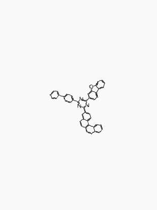 c1ccc(-c2ccc(-c3nc(-c4ccc5c(ccc6ccc7ccccc7c65)c4)nc(-c4ccc5c(c4)oc4ccccc45)n3)cc2)cc1